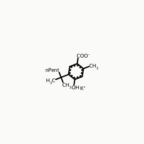 CCCCCC(C)(C)c1cc(C(=O)[O-])c(C)cc1O.[K+]